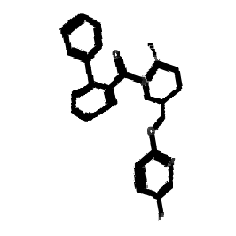 C[C@@H]1CC[C@@H](COc2ccc(F)cn2)CN1C(=O)c1ccccc1-c1ccccc1